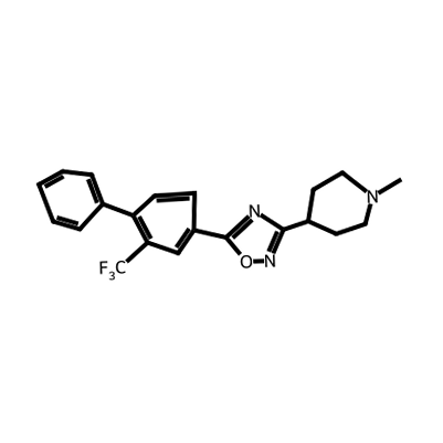 CN1CCC(c2noc(-c3ccc(-c4ccccc4)c(C(F)(F)F)c3)n2)CC1